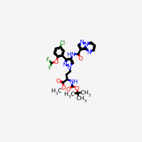 COC(=O)C(CCn1cc(NC(=O)c2cnn3cccnc23)c(-c2cc(Cl)ccc2OC(F)F)n1)NC(=O)OC(C)(C)C